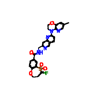 Cc1cnc2c(c1)OCCN2c1ccc2cnc(CNC(=O)c3ccc4c(c3)S(=O)(=O)[C@@H](F)CCO4)cc2n1